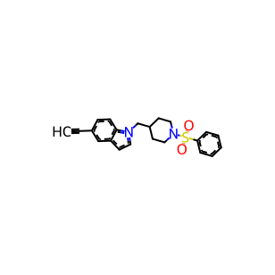 C#Cc1ccc2c(ccn2CC2CCN(S(=O)(=O)c3ccccc3)CC2)c1